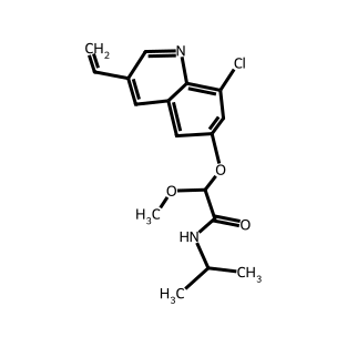 C=Cc1cnc2c(Cl)cc(OC(OC)C(=O)NC(C)C)cc2c1